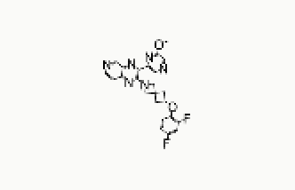 COc1cncc(-c2nc3cnccc3nc2N2CC3(CC(Oc4ccc(F)cc4F)C3)C2)n1